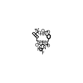 CN(C)C(=O)C12C3C4C1C1C2C3C41CNC(=O)c1cc(C(=O)NCc2ccc3c(c2)NC(=O)CO3)nc2c(F)cnn12